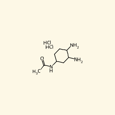 CC(=O)NC1CCC(N)C(N)C1.Cl.Cl